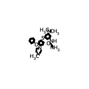 CN1CCN(c2ccc(Sc3cc(NC(=O)CN)cc(N(C)C)c3)cc2Oc2ccccc2)CC1